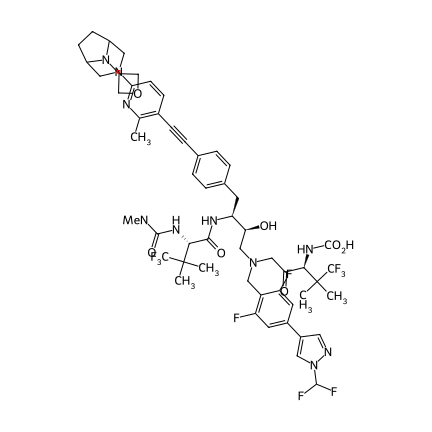 CNC(=O)N[C@H](C(=O)N[C@@H](Cc1ccc(C#Cc2ccc(N3CC4CCC(C3)N4C3COC3)nc2C)cc1)[C@@H](O)CN(CC(=O)[C@@H](NC(=O)O)C(C)(C)C(F)(F)F)Cc1c(F)cc(-c2cnn(C(F)F)c2)cc1F)C(C)(C)C(F)(F)F